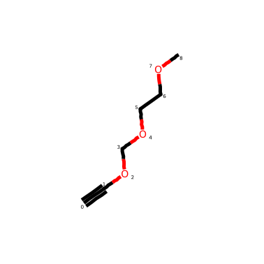 C#COCOCCOC